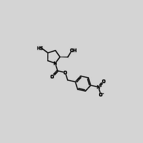 O=C(OCc1ccc([N+](=O)[O-])cc1)N1CC(S)CC1CO